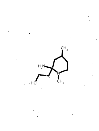 CC1CCN(C)C(N)(CCO)C1